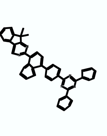 CC1(C)c2ccccc2-c2cnc(-c3ccc(-c4ccc(-c5nc(-c6ccccc6)nc(-c6ccccc6)n5)cc4)c4ccccc34)nc21